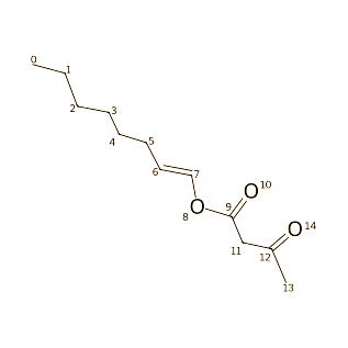 CCCCCCC=COC(=O)CC(C)=O